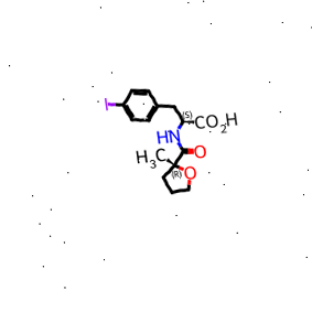 C[C@]1(C(=O)N[C@@H](Cc2ccc(I)cc2)C(=O)O)CCCO1